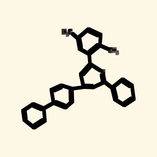 Cc1ccc(C)c(-c2cc(-c3ccc(-c4ccccc4)cc3)cc(-c3ccccc3)n2)c1